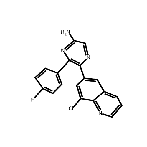 Nc1cnc(-c2cc(Cl)c3ncccc3c2)c(-c2ccc(F)cc2)n1